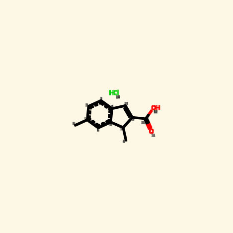 Cc1ccc2c(c1)C(C)C(C(=O)O)=C2.Cl